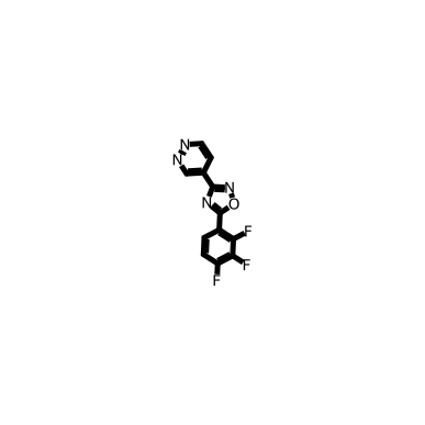 Fc1ccc(-c2nc(-c3ccnnc3)no2)c(F)c1F